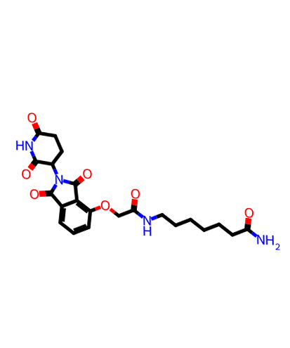 NC(=O)CCCCCCNC(=O)COc1cccc2c1C(=O)N(C1CCC(=O)NC1=O)C2=O